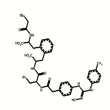 Cc1ccc(NC(=NC#N)Nc2ccc(CC(=O)NC(CC(C)C)C(=O)NC(Cc3ccccc3CC(NC(=O)CC(C)(C)C)C(=O)O)C(=O)O)cc2)cc1